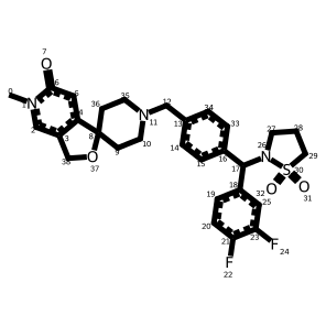 Cn1cc2c(cc1=O)C1(CCN(Cc3ccc(C(c4ccc(F)c(F)c4)N4CCCS4(=O)=O)cc3)CC1)OC2